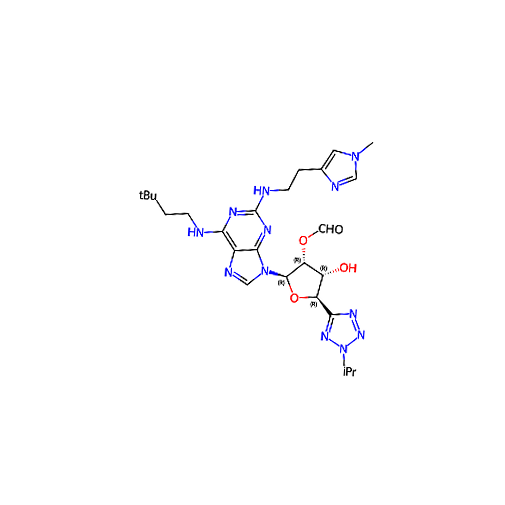 CC(C)n1nnc([C@H]2O[C@@H](n3cnc4c(NCCC(C)(C)C)nc(NCCc5cn(C)cn5)nc43)[C@H](OC=O)[C@@H]2O)n1